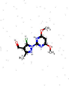 COc1cc(OC)nc(-n2nc(C)c(C=O)c2Cl)n1